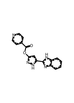 O=C(Oc1cc(-c2nc3ccccc3[nH]2)[nH]n1)c1ccncc1